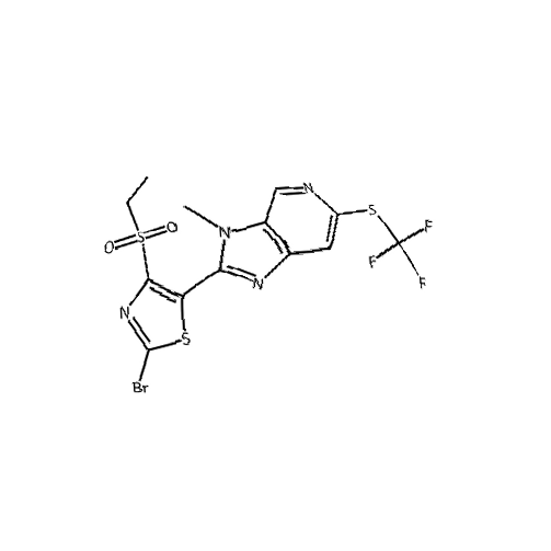 CCS(=O)(=O)c1nc(Br)sc1-c1nc2cc(SC(F)(F)F)ncc2n1C